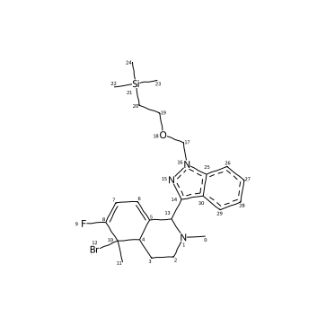 CN1CCC2C(=CC=C(F)C2(C)Br)C1c1nn(COCC[Si](C)(C)C)c2ccccc12